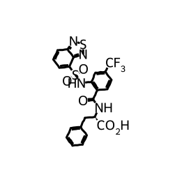 O=C(N[C@@H](Cc1ccccc1)C(=O)O)c1ccc(C(F)(F)F)cc1NS(=O)(=O)c1cccc2nsnc12